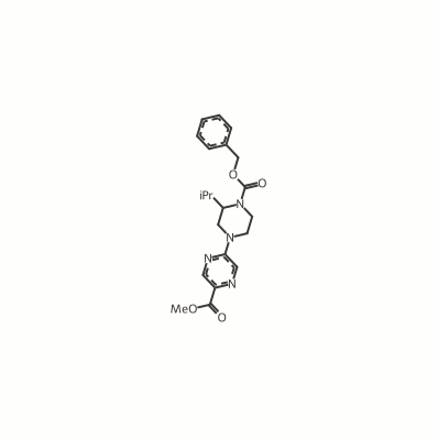 COC(=O)c1cnc(N2CCN(C(=O)OCc3ccccc3)C(C(C)C)C2)cn1